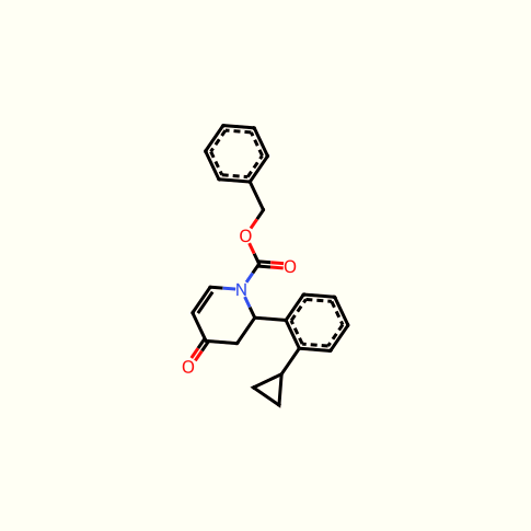 O=C1C=CN(C(=O)OCc2ccccc2)C(c2ccccc2C2CC2)C1